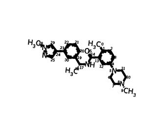 Cc1ccc(N2CCN(C)CC2)cc1C(=O)N[C@H](C)c1cccc(-c2cnn(C)c2)c1